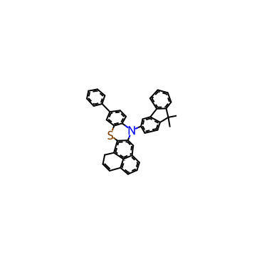 CC1(C)c2ccccc2-c2cc(N3c4ccc(-c5ccccc5)cc4Sc4c3cc3cccc5c3c4CC=C5)ccc21